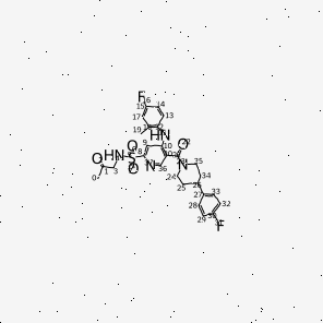 CC(=O)CNS(=O)(=O)c1cc(Nc2ccc(F)cc2C)c(C(=O)N2CCC(c3ccc(F)cc3)CC2)cn1